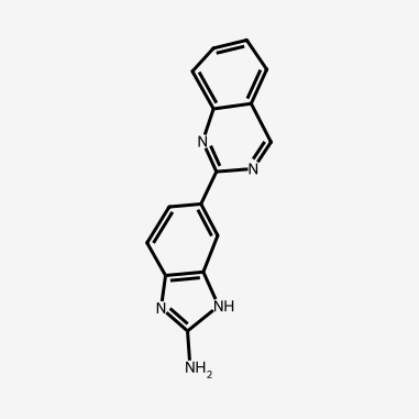 Nc1nc2ccc(-c3ncc4ccccc4n3)cc2[nH]1